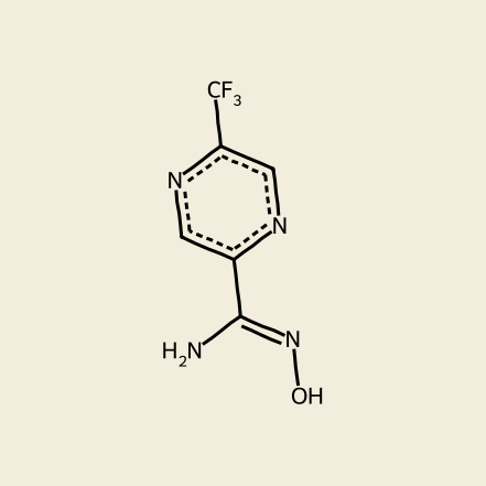 NC(=NO)c1cnc(C(F)(F)F)cn1